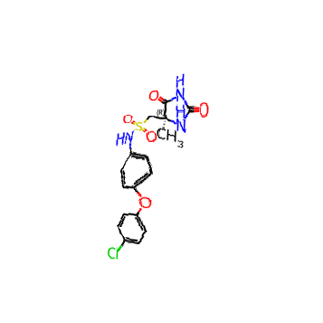 C[C@@]1(CS(=O)(=O)Nc2ccc(Oc3ccc(Cl)cc3)cc2)NC(=O)NC1=O